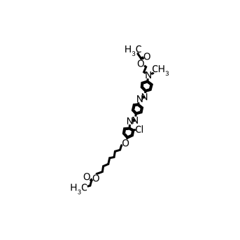 CCC(=O)OCCCCCCCCCOc1ccc(N=Nc2ccc(N=Nc3ccc(N(CC)CCOC(=O)CC)cc3)cc2)c(Cl)c1